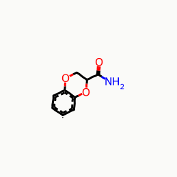 NC(=O)C1COc2cc[c]cc2O1